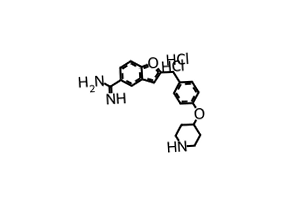 Cl.Cl.N=C(N)c1ccc2oc(Cc3ccc(OC4CCNCC4)cc3)cc2c1